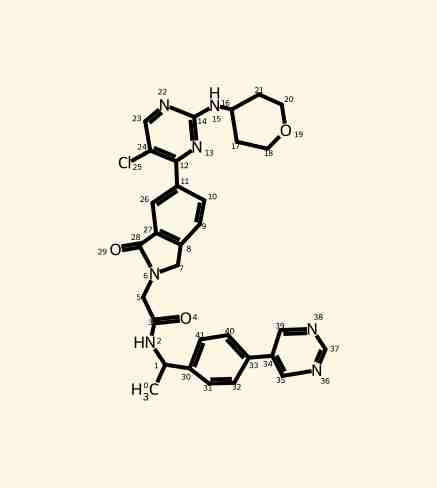 CC(NC(=O)CN1Cc2ccc(-c3nc(NC4CCOCC4)ncc3Cl)cc2C1=O)c1ccc(-c2cncnc2)cc1